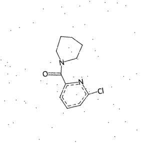 O=C(c1cccc(Cl)n1)N1CCCCC1